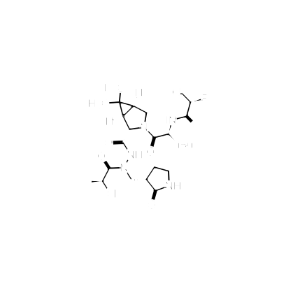 CC[C@H](C)[C@H](NC(=O)[C@H](F)Cl)C(=O)N1C[C@H]2[C@@H]([C@H]1C(=O)NN(C[C@@H]1CCNC1=O)C(=O)[C@H](F)Cl)C2(C)C